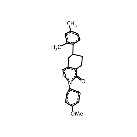 COc1ccc(-n2ncc3c(c2=O)CCC(c2ccc(C)cc2C)C3)nc1